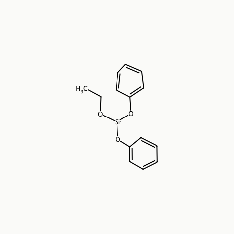 CCO[Si](Oc1ccccc1)Oc1ccccc1